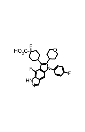 O=C(O)[C@]1(F)CC[C@@H](c2c(C3CCOCC3)n(-c3ccc(F)cc3)c3cc4cn[nH]c4c(F)c32)CC1